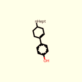 CCCCCCCC1CC=C(c2ccc(O)cc2)CC1